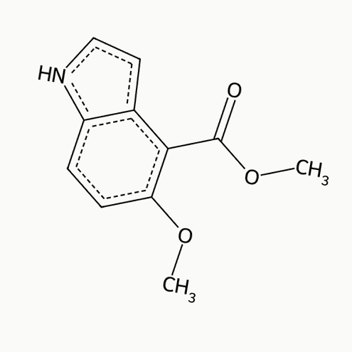 COC(=O)c1c(OC)ccc2[nH]ccc12